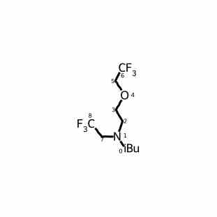 CCC(C)N(CCOCC(F)(F)F)CC(F)(F)F